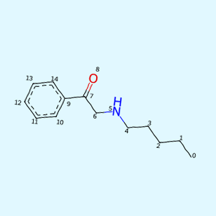 CCCCCNCC(=O)c1ccccc1